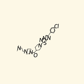 CN(C)CCN1CCN(C(=O)C2CCN(c3nn4cc(-c5ccc(Cl)cc5)nc4s3)CC2)CC1